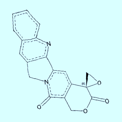 O=C1OCc2c(cc3n(c2=O)Cc2cc4ccccc4nc2-3)[C@@]12CO2